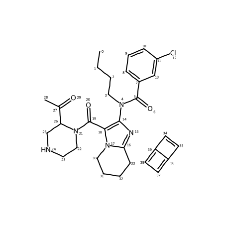 CCCCN(C(=O)c1cccc(Cl)c1)c1nc2n(c1C(=O)N1CCNCC1C(C)=O)CCCC2.c1cc2ccc1-2